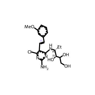 CC[C@@H](Nc1nc(N)nc(Cl)c1/C=C/c1cccc(OC)c1)[C@H](O)C(O)CO